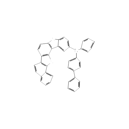 c1ccc(-c2ccc(N(c3ccccc3)c3ccc4sc5ccc6c7ccc8ccccc8c7sc6c5c4c3)cc2)cc1